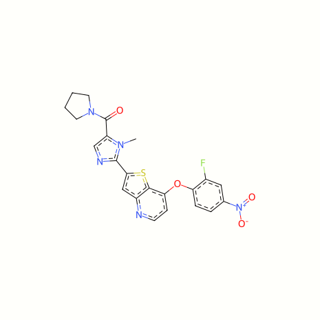 Cn1c(C(=O)N2CCCC2)cnc1-c1cc2nccc(Oc3ccc([N+](=O)[O-])cc3F)c2s1